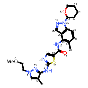 COCCn1cc(C)c(Nc2ncc(C(=O)Nc3c(C)ccc4c3cnn4C3CCCCO3)s2)n1